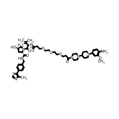 COc1cc(N2CCC(N3CCN(C(=O)CCOCCOCCOCCC(=O)N[C@H](C(=O)N4C[C@H](O)C[C@H]4C(=O)NCc4ccc(-c5scnc5C)cc4)C(C)(C)C)CC3)CC2)ccc1N